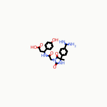 CC1(c2ccc(C(=N)N)cc2)NC(=O)N(CC(=O)NC(CC(=O)O)c2ccc(O)cc2)C1=O